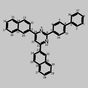 c1ccc(-c2ccc(-c3nc(-c4ccc5ccccc5c4)cc(-c4ccc5ccccc5c4)n3)cc2)cc1